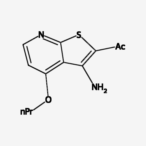 CCCOc1ccnc2sc(C(C)=O)c(N)c12